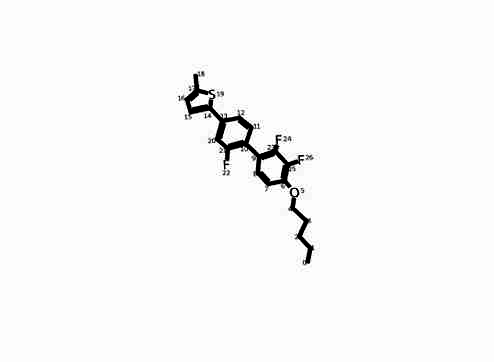 CCCCCOc1ccc(-c2ccc(-c3ccc(C)s3)cc2F)c(F)c1F